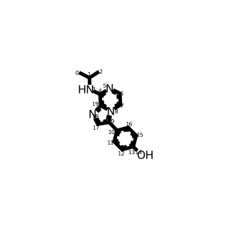 CC(C)Nc1nccn2c(-c3ccc(O)cc3)cnc12